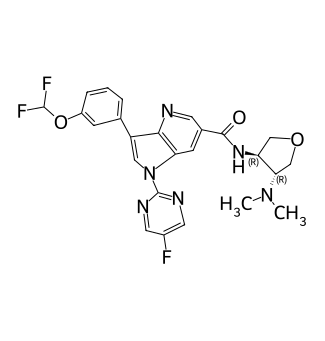 CN(C)[C@H]1COC[C@@H]1NC(=O)c1cnc2c(-c3cccc(OC(F)F)c3)cn(-c3ncc(F)cn3)c2c1